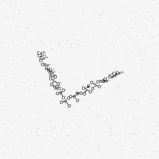 O=S(=O)([O-])[O-].O=S(=O)([O-])[O-].O=S(=O)([O-])[O-].[Ca+2].[Ca+2].[Ca+2].[Ca+2].[Ca+2].[Ca+2].[Ca+2].[Cl-].[Cl-].[Cl-].[Na+].[Na+].[Na+].[Na+].[Na+].[Na+].[Na+].[O-]B([O-])[O-].[O-]B([O-])[O-].[O-]B([O-])[O-].[OH-].[OH-].[OH-]